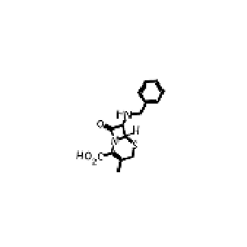 CC1=C(C(=O)O)N2C(=O)C(NCc3ccccc3)[C@@H]2SC1